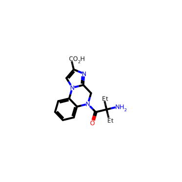 CCC(N)(CC)C(=O)N1Cc2nc(C(=O)O)cn2-c2ccccc21